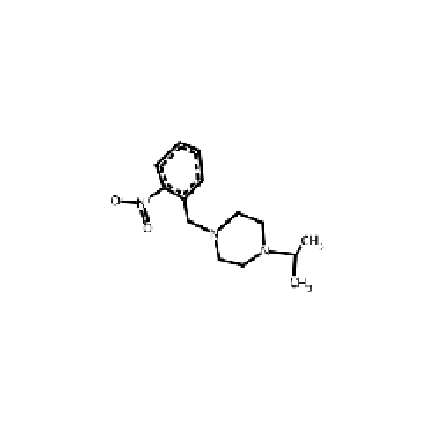 CC(C)N1CCN(Cc2ccccc2[N+](=O)[O-])CC1